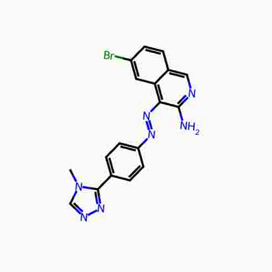 Cn1cnnc1-c1ccc(/N=N/c2c(N)ncc3ccc(Br)cc23)cc1